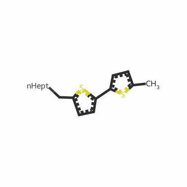 CCCCCCCCc1ccc(-c2ccc(C)s2)s1